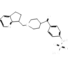 CS(=O)(=O)Nc1ccc(C(=O)C2CCN(CC3CCc4cccnc43)CC2)cc1